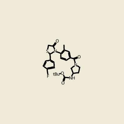 Cc1cc(C(=O)N2CCC(NC(=O)OC(C)(C)C)C2)ccc1N1C(=O)CSC1c1ccc(F)cc1